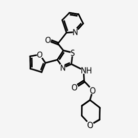 O=C(Nc1nc(-c2ccco2)c(C(=O)c2ccccn2)s1)OC1CCOCC1